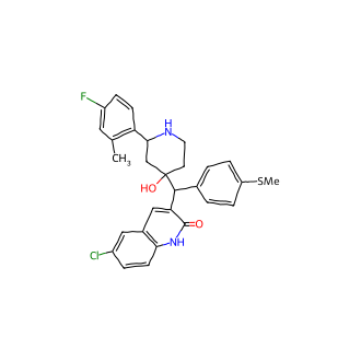 CSc1ccc(C(c2cc3cc(Cl)ccc3[nH]c2=O)C2(O)CCNC(c3ccc(F)cc3C)C2)cc1